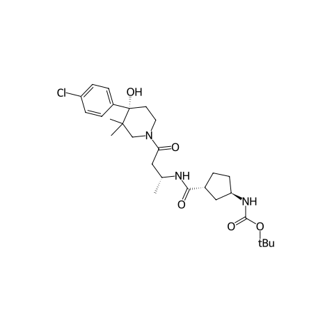 C[C@H](CC(=O)N1CC[C@](O)(c2ccc(Cl)cc2)C(C)(C)C1)NC(=O)[C@@H]1CC[C@@H](NC(=O)OC(C)(C)C)C1